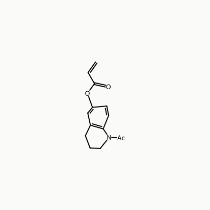 C=CC(=O)Oc1ccc2c(c1)CCCN2C(C)=O